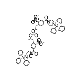 CC(Cc1ccc(C(=O)N2CCN(C(c3ccccc3)(c3ccccc3)c3ccccc3)CC2)cc1[N+](=O)[O-])OC(=O)OC(C)Cc1ccc(C(=O)N2CCN(C(c3ccccc3)(c3ccccc3)c3ccccc3)CC2)cc1[N+](=O)[O-]